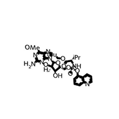 COc1nc(N)nc2c1ncn2C1O[C@H](COP(=O)(N[C@H](C(=O)OCC(C)(C)C)C(C)C)Oc2cccc3ncccc23)[C@@H](O)[C@@]1(C)O